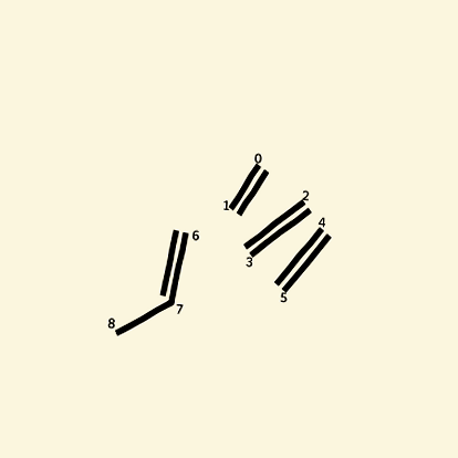 C=C.C=C.C=C.C=CC